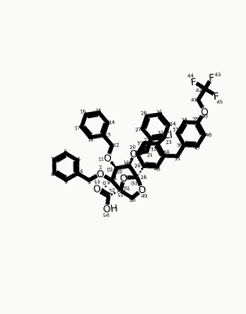 C[C@]1(OCc2ccccc2)[C@@H](OCc2ccccc2)[C@@H](OCc2ccccc2)[C@@]2(c3ccc(Cl)c(Cc4ccc(OCC(F)(F)F)cc4)c3)OC[C@]1(C(=O)O)O2